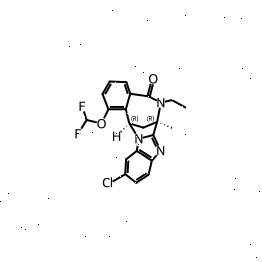 CCN1C(=O)c2cccc(OC(F)F)c2[C@H]2C[C@]1(C)c1nc3ccc(Cl)cc3n12